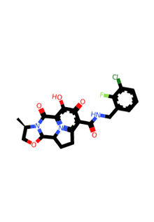 C[C@@H]1COC2C3CCc4c(C(=O)NCc5cccc(Cl)c5F)c(=O)c(O)c(n43)C(=O)N21